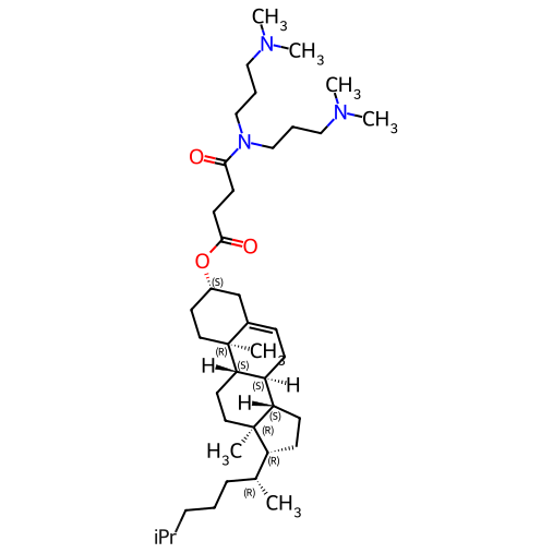 CC(C)CCC[C@@H](C)[C@H]1CC[C@H]2[C@@H]3CC=C4C[C@@H](OC(=O)CCC(=O)N(CCCN(C)C)CCCN(C)C)CC[C@]4(C)[C@H]3CC[C@]12C